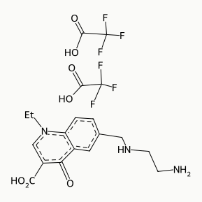 CCn1cc(C(=O)O)c(=O)c2cc(CNCCN)ccc21.O=C(O)C(F)(F)F.O=C(O)C(F)(F)F